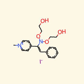 C[n+]1ccc(C(=Cc2ccccc2)N(OCCO)OCCO)cc1.[I-]